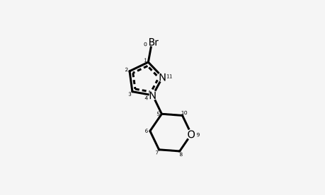 Brc1ccn(C2CCCOC2)n1